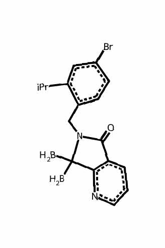 BC1(B)c2ncccc2C(=O)N1Cc1ccc(Br)cc1C(C)C